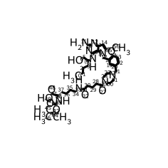 CCCC[C@@H](CO)Nc1nc(N)nc2ccn(Cc3cc(CN4CCN(C(=O)CCCC(=O)NCCCC[C@H](NC(=O)OC(C)(C)C)C(=O)O)CC4)ccc3OC)c12